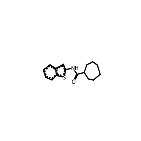 O=C(Nc1cc2ccccc2s1)C1CCCCCC1